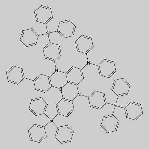 c1ccc(-c2ccc3c(c2)N(c2ccc([Si](c4ccccc4)(c4ccccc4)c4ccccc4)cc2)c2cc(N(c4ccccc4)c4ccccc4)cc4c2B3c2cc([Si](c3ccccc3)(c3ccccc3)c3ccccc3)ccc2N4c2ccc([Si](c3ccccc3)(c3ccccc3)c3ccccc3)cc2)cc1